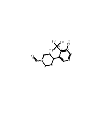 O=CN1CCC(c2cccc(Cl)c2C(F)(F)F)CC1